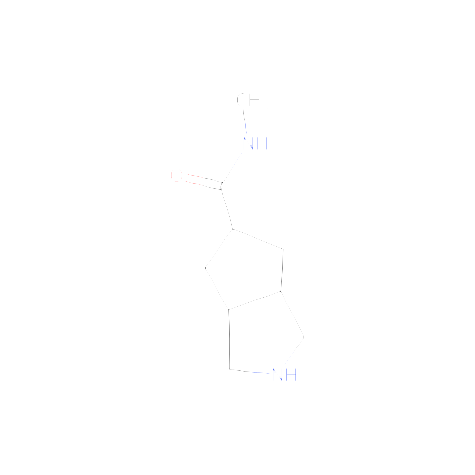 CNC(=O)C1CC2CNCC2C1